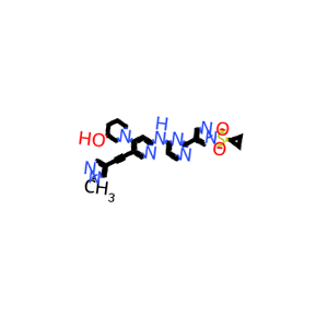 Cn1cc(C#Cc2cnc(Nc3ccnc(-c4cnn(S(=O)(=O)C5CC5)c4)n3)cc2N2CCCC(O)C2)cn1